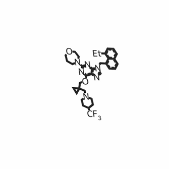 CCc1cccc2cccc(Cn3cnc4c(OCC5(CN6CCC(C(F)(F)F)CC6)CC5)nc(N5CCCOCC5)nc43)c12